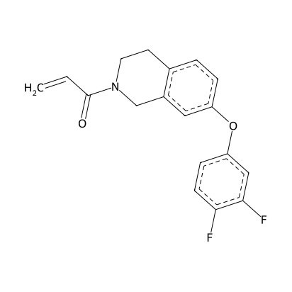 C=CC(=O)N1CCc2ccc(Oc3ccc(F)c(F)c3)cc2C1